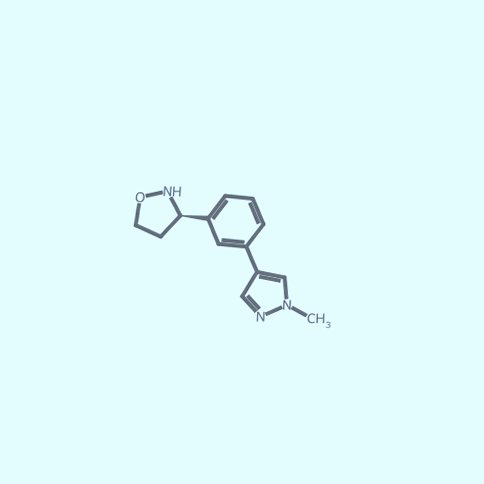 Cn1cc(-c2cccc([C@H]3CCON3)c2)cn1